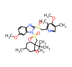 COc1ccc2nc([S@@+]([O-])Cc3ncc(C)c(OC)c3C)n(S(=O)(=O)CC3(C(C)(C)C)CCC(C)CC3=O)c2c1